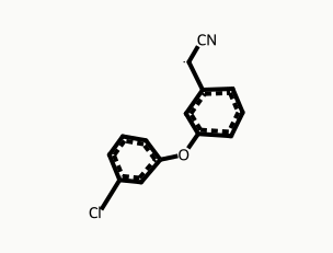 N#C[CH]c1cccc(Oc2cccc(Cl)c2)c1